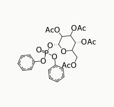 CC(=O)OCC1O[C@H](OP(=O)(Oc2ccccc2)Oc2ccccc2)C(OC(C)=O)C(OC(C)=O)[C@@H]1OC(C)=O